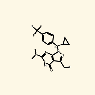 CN(C)c1nc2c(c(CF)nn2[C@@H](c2ccc(C(F)(F)F)cc2)C2CC2)c(=O)[nH]1